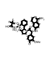 CCS(=O)(=O)c1ccccc1C1C(C(=O)O)CCN1C(=O)[C@H](Nc1ccc2c(N)nccc2c1)c1ccc(Cl)c(OC)c1.O=C(O)C(F)(F)F